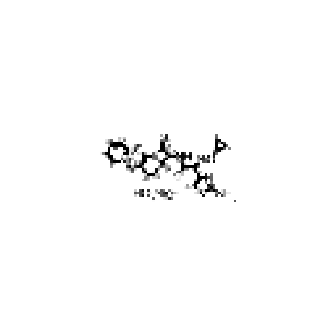 Nc1nc(C(=NOC2CC2)C(=O)N[C@@H]2C(=O)N3C(C(=O)O)=C(C[n+]4ccccc4)CS[C@@H]23)cs1.O=S(=O)([O-])O